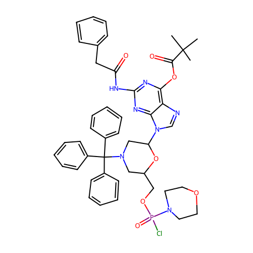 CC(C)(C)C(=O)Oc1nc(NC(=O)Cc2ccccc2)nc2c1ncn2C1CN(C(c2ccccc2)(c2ccccc2)c2ccccc2)CC(COP(=O)(Cl)N2CCOCC2)O1